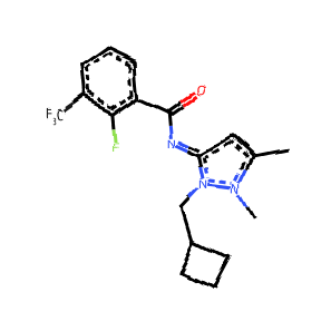 Cc1c/c(=N\C(=O)c2cccc(C(F)(F)F)c2F)n(CC2CCC2)n1C